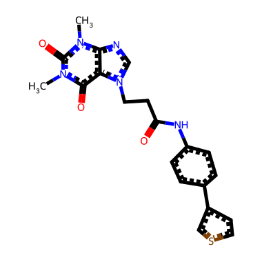 Cn1c(=O)c2c(ncn2CCC(=O)Nc2ccc(-c3ccsc3)cc2)n(C)c1=O